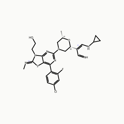 C/N=c1\sc2c(-c3ccc(Cl)cc3F)nc(N3C[C@@H](/C(C=N)=C/NC4CC4)O[C@@H](C)C3)nc2n1CCO